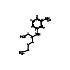 CCCCC(CO)Nc1ccnc(N)n1